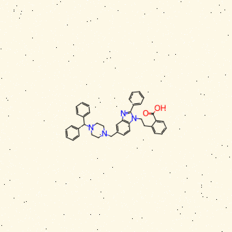 O=C(O)c1ccccc1CCn1c(-c2ccccc2)nc2cc(CN3CCN(C(c4ccccc4)c4ccccc4)CC3)ccc21